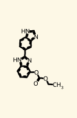 CCOC(=O)Oc1cccc2[nH]c(-c3ccc4[nH]cnc4c3)nc12